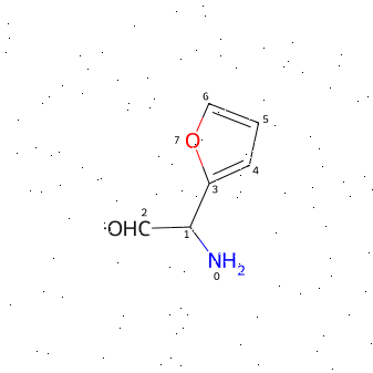 NC([C]=O)c1ccco1